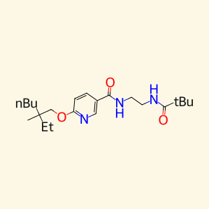 CCCCC(C)(CC)COc1ccc(C(=O)NCCNC(=O)C(C)(C)C)cn1